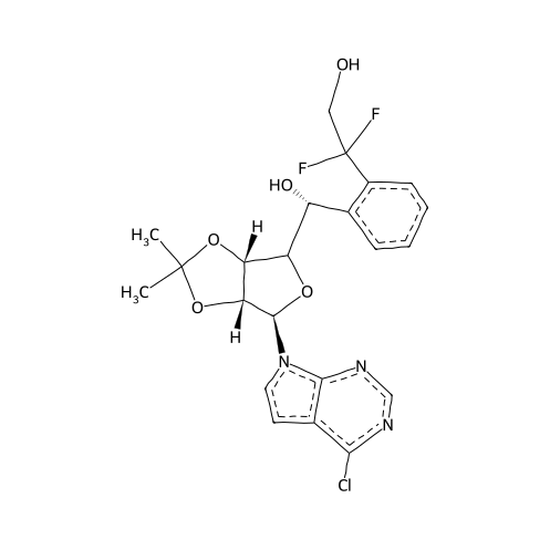 CC1(C)O[C@@H]2[C@H](O1)C([C@H](O)c1ccccc1C(F)(F)CO)O[C@H]2n1ccc2c(Cl)ncnc21